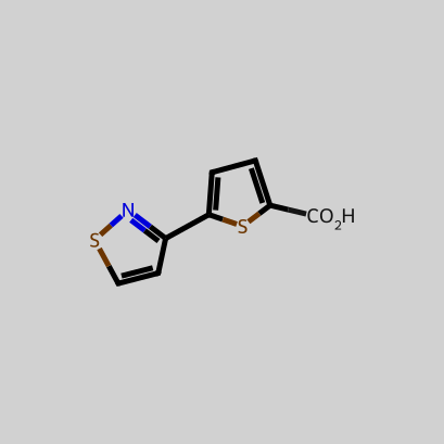 O=C(O)c1ccc(-c2ccsn2)s1